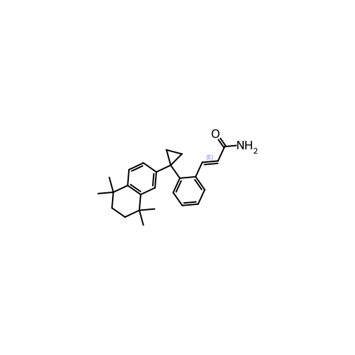 CC1(C)CCC(C)(C)c2cc(C3(c4ccccc4/C=C/C(N)=O)CC3)ccc21